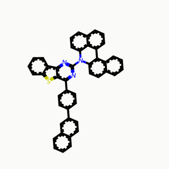 c1ccc2cc(-c3ccc(-c4nc(N5c6ccc7ccccc7c6-c6cccc7cccc5c67)nc5c4sc4ccccc45)cc3)ccc2c1